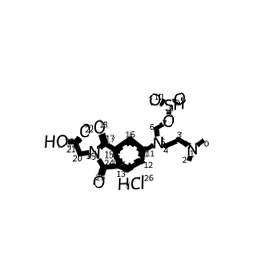 CN(C)CCN(CO[SH](=O)=O)c1ccc2c(c1)C(=O)N(CC(=O)O)C2=O.Cl